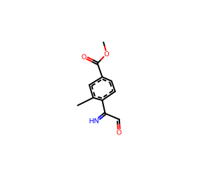 COC(=O)c1ccc(C(=N)C=O)c(C)c1